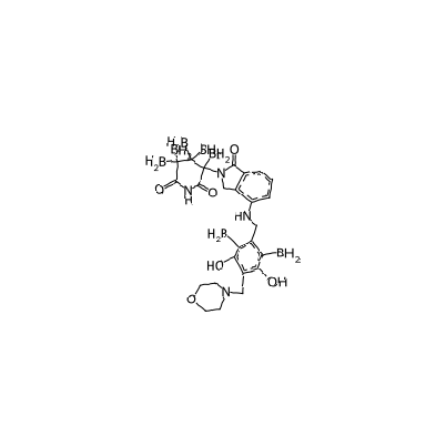 Bc1c(O)c(CN2CCOCC2)c(O)c(B)c1CNc1cccc2c1CN(C1(B)C(=O)NC(=O)C(B)(B)C1(B)B)C2=O